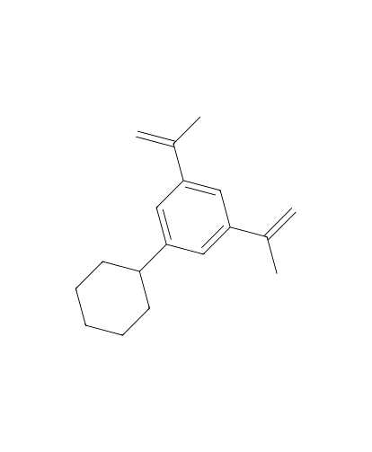 C=C(C)c1cc(C(=C)C)cc(C2CCCCC2)c1